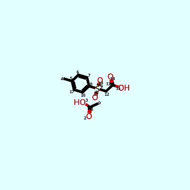 CC(=O)O.Cc1ccc(S(=O)(=O)CC(=O)O)cc1